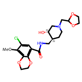 COc1c(Cl)cc(C(=O)NC[C@@H]2CCN(CC3OCCO3)C[C@H]2O)c2c1OCCO2